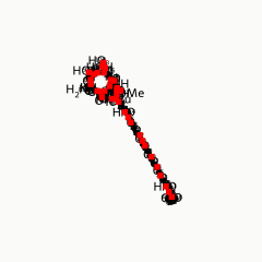 CC[C@H](C)[C@@H]1NC(=O)CNC(=O)[C@@H]2Cc3c([nH]c4c(CSCCCCNC(=O)CCOCCOCCOCCOCCOCCOCCOCCOCCNC(=O)CCN5C(=O)C=CC5=O)c(OC)ccc34)[S+]([O-])CC(NC(=O)CNC1=O)C(=O)N[C@@H](CC(N)=O)C(=O)N1C[C@H](O)C[C@H]1C(=O)N[C@@H]([C@@H](C)[C@@H](O)CO)C(=O)N2